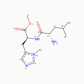 COC(=O)[C@H](Cc1cncn1C)NC(=O)[C@@H](N)CC(C)C